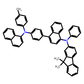 Cc1ccc(N(c2ccc(-c3ccc(N(c4ccccc4)c4ccc5c(c4)C(C)(C)c4ccccc4-5)c4ccccc34)cc2)c2cccc3ccccc23)cc1